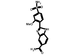 COc1cc(S(N)(=O)=O)ccc1-c1nc2cc(C(N)=O)ccc2[nH]1